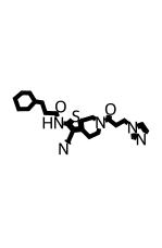 N#Cc1c(NC(=O)CCC2CCCCC2)sc2c1CCN(C(=O)CCn1ccnc1)C2